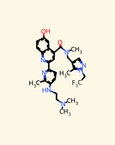 Cc1nc(-c2cc(C(=O)N(C)Cc3cnn(CC(F)(F)F)c3C)c3cc(O)ccc3n2)ccc1NCCN(C)C